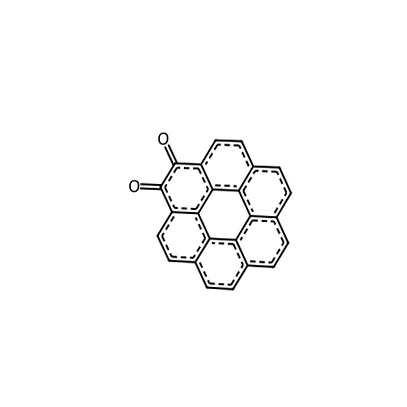 O=c1c(=O)c2ccc3ccc4ccc5ccc6ccc1c1c6c5c4c3c21